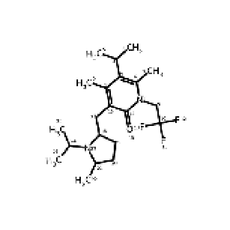 Cc1c(C(C)C)c(C)n(CC(F)(F)F)c(=O)c1CC1CCC(C)N1C(C)C